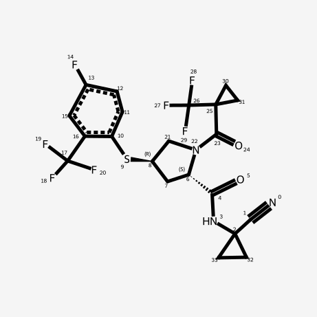 N#CC1(NC(=O)[C@@H]2C[C@@H](Sc3ccc(F)cc3C(F)(F)F)CN2C(=O)C2(C(F)(F)F)CC2)CC1